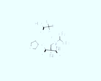 CCCC(CCC)S(=O)(=O)C[C@](N)(C(N)=O)C(=O)O[C@H]1CCOC1.O=C(O)C(F)(F)F